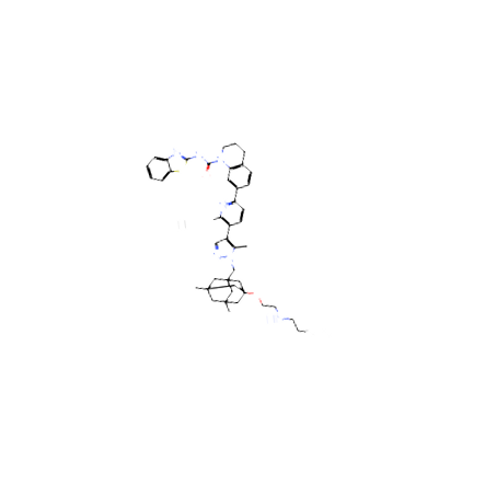 Cc1c(-c2ccc(-c3ccc4c(c3)N(C(=O)Nc3nc5ccccc5s3)CCC4)nc2C(=O)O)cnn1CC12CC3(C)CC(C)(C1)CC(OCCNCCS(=O)(=O)O)(C3)C2